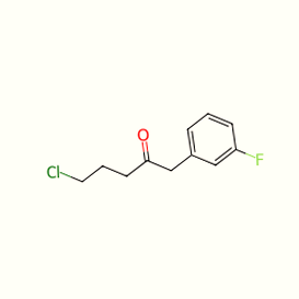 O=C(CCCCl)Cc1cccc(F)c1